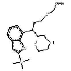 COCCCC[C@H](c1cccc2cc([Si](C)(C)C)oc12)[C@H]1CCCNC1